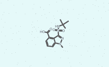 Cn1nc(S(=O)(=O)NC(C)(C)C)c2c(C(=O)O)cccc21